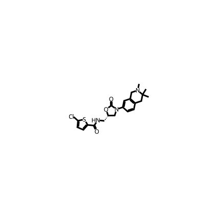 CN1Cc2cc(N3C[C@H](CNC(=O)c4ccc(Cl)s4)OC3=O)ccc2CC1(C)C